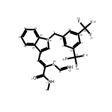 CNC(=O)/C(=C/c1cn(Cc2cc(C(F)(F)F)cc(C(F)(F)F)c2)c2ccccc12)SC=N